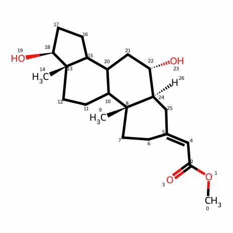 COC(=O)C=C1CC[C@]2(C)C3CC[C@@]4(C)C(CC[C@@H]4O)C3C[C@H](O)[C@H]2C1